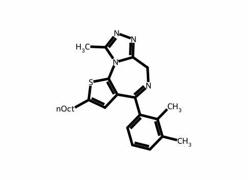 CCCCCCCCc1cc2c(s1)-n1c(C)nnc1CN=C2c1cccc(C)c1C